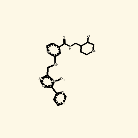 Cn1c(CNc2cc(C(=O)NCC3CCNCC3Cl)ccn2)nnc1-c1ccncn1